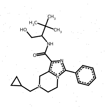 CC(C)(C)C(CO)NC(=O)c1nc(-c2ccccc2)n2c1CN(CC1CC1)CC2